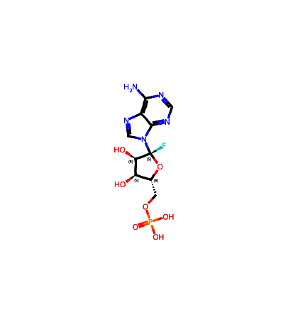 Nc1ncnc2c1ncn2[C@]1(F)O[C@H](COP(=O)(O)O)[C@@H](O)[C@H]1O